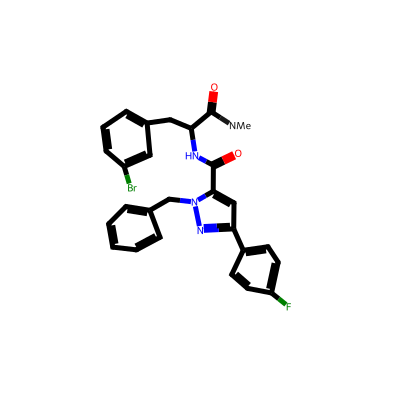 CNC(=O)C(Cc1cccc(Br)c1)NC(=O)c1cc(-c2ccc(F)cc2)nn1Cc1ccccc1